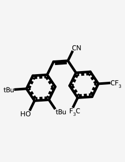 CC(C)(C)c1cc(C=C(C#N)c2cc(C(F)(F)F)cc(C(F)(F)F)c2)cc(C(C)(C)C)c1O